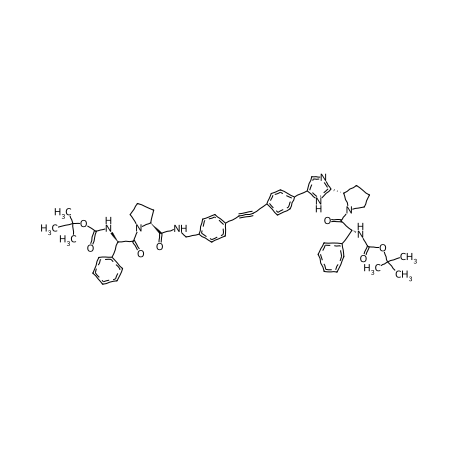 CC(C)(C)OC(=O)N[C@@H](C(=O)N1CCC[C@H]1C(=O)NCc1ccc(C#Cc2ccc(-c3cnc([C@@H]4CCCN4C(=O)[C@H](NC(=O)OC(C)(C)C)c4ccccc4)[nH]3)cc2)cc1)c1ccccc1